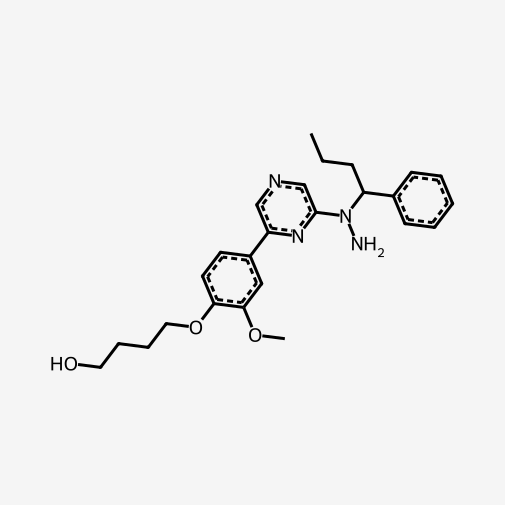 CCCC(c1ccccc1)N(N)c1cncc(-c2ccc(OCCCCO)c(OC)c2)n1